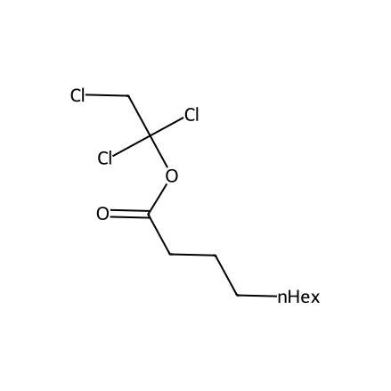 CCCCCCCCCC(=O)OC(Cl)(Cl)CCl